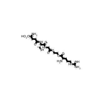 N=C(N)NCCC[C@H](N)C(=O)OCCOC(=O)CNC(=O)[C@H](CS)NC(=O)CC[C@H](N)C(=O)O